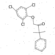 CC(C)(C(=O)COc1c(Cl)cc(Cl)cc1Cl)c1ccccc1